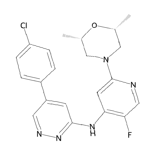 C[C@@H]1CN(c2cc(Nc3cc(-c4ccc(Cl)cc4)cnn3)c(F)cn2)C[C@H](C)O1